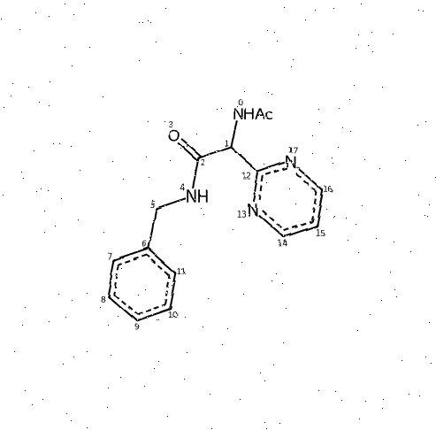 CC(=O)NC(C(=O)NCc1ccccc1)c1ncccn1